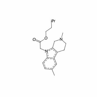 Cc1ccc2c(c1)c1c(n2CC(=O)OCCC(C)C)CN(C)CC1